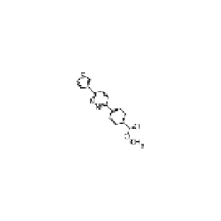 COC(=O)c1ccc(-c2ccc(-c3ccsc3)nn2)cc1